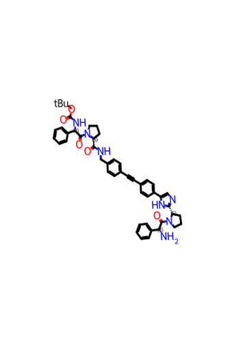 CC(C)(C)OC(=O)N[C@@H](C(=O)N1CCC[C@H]1C(=O)NCc1ccc(C#Cc2ccc(-c3cnc([C@@H]4CCCN4C(=O)[C@H](N)c4ccccc4)[nH]3)cc2)cc1)c1ccccc1